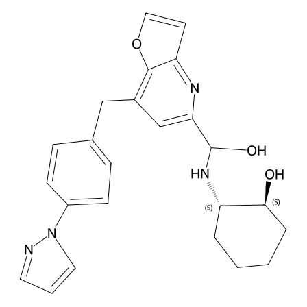 OC(N[C@H]1CCCC[C@@H]1O)c1cc(Cc2ccc(-n3cccn3)cc2)c2occc2n1